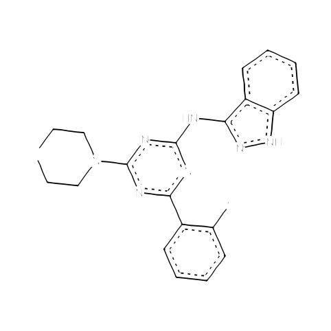 FC(F)(F)c1ccccc1-c1nc(Nc2n[nH]c3ccccc23)nc(N2CCSCC2)n1